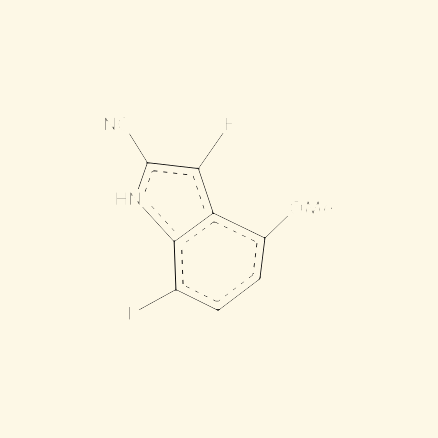 COc1ccc(F)c2[nH]c(C#N)c(F)c12